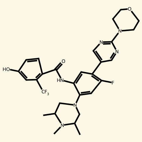 CC1CN(c2cc(F)c(-c3cnc(N4CCOCC4)nc3)cc2NC(=O)c2ccc(O)cc2C(F)(F)F)CC(C)N1C